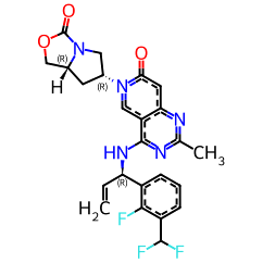 C=C[C@@H](Nc1nc(C)nc2cc(=O)n([C@@H]3C[C@@H]4COC(=O)N4C3)cc12)c1cccc(C(F)F)c1F